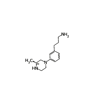 C[C@H]1CN(c2cccc(CCCN)c2)CCN1